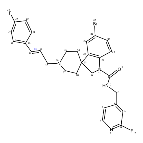 O=C(NCc1ccnc(F)c1)N1CC2(CCN(C/C=C/c3ccc(F)cc3)CC2)c2cc(Br)ccc21